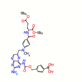 CN(Cc1cnc2nc(N)nc(NC(=O)OCc3ccc(B(O)O)cc3)c2n1)c1ccc(C(=O)N[C@@H](CCC(=O)OC(C)(C)C)C(=O)OC(C)(C)C)cc1